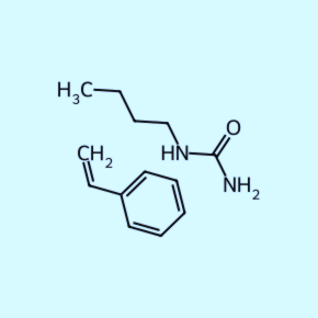 C=Cc1ccccc1.CCCCNC(N)=O